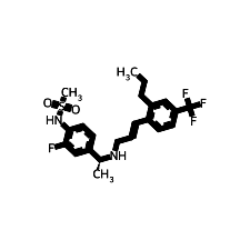 CCCc1cc(C(F)(F)F)ccc1/C=C/CN[C@H](C)c1ccc(NS(C)(=O)=O)c(F)c1